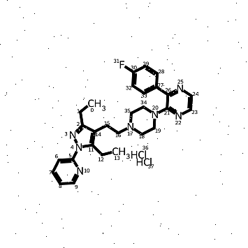 CCc1nn(-c2ccccn2)c(CC)c1CCN1CCN(c2nccnc2-c2ccc(F)cc2)CC1.Cl.Cl